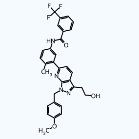 COc1ccc(Cn2nc(CCO)c3ccc(-c4cc(NC(=O)c5cccc(C(F)(F)F)c5)ccc4C)nc32)cc1